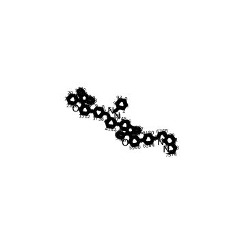 c1ccc(-c2nc(-c3ccc(-c4ccc5c(c4)C4(c6ccccc6O5)c5ccccc5-c5ccccc54)cc3)c3cccc(-c4ccc5c(c4)C4(c6ccccc6Oc6ccc(-c7ccc(-c8ccc9ccc%10cccnc%10c9n8)cc7)cc64)c4ccccc4-5)c3n2)cc1